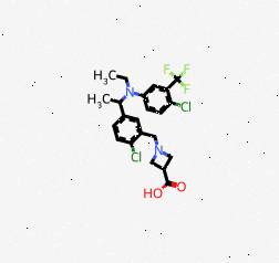 CCN(c1ccc(Cl)c(C(F)(F)F)c1)C(C)c1ccc(Cl)c(CN2CC(C(=O)O)C2)c1